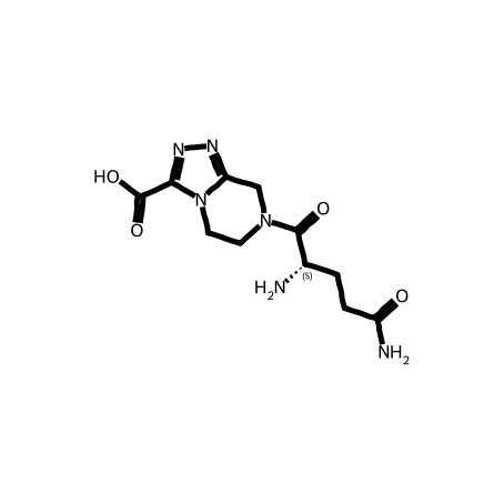 NC(=O)CC[C@H](N)C(=O)N1CCn2c(nnc2C(=O)O)C1